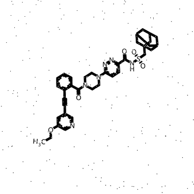 CCOc1cncc(C#Cc2ccccc2C(=O)N2CCN(c3ccc(C(=O)NS(=O)(=O)CC45CC6CC(CC(C6)C4)C5)nn3)CC2)c1